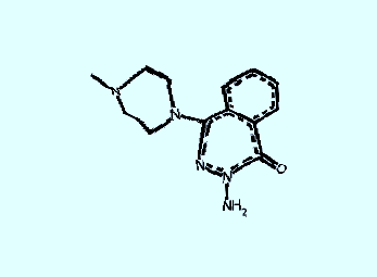 CN1CCN(c2nn(N)c(=O)c3ccccc23)CC1